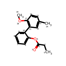 CCC(=O)Oc1ccccc1-c1cc(C)ccc1OC